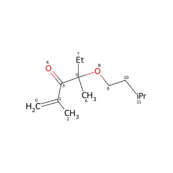 C=C(C)C(=O)C(C)(CC)OCCC(C)C